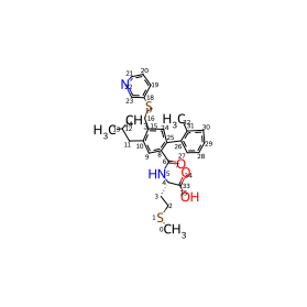 CSCC[C@H](NC(=O)c1cc(CC(C)C)c(CSc2cccnc2)cc1-c1ccccc1C)C(=O)O